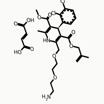 C=C(C)COC(=O)C1=C(COCCOCCN)NC(C)=C(C(=O)OC)[C@H]1c1cccc(Cl)c1Cl.O=C(O)/C=C/C(=O)O